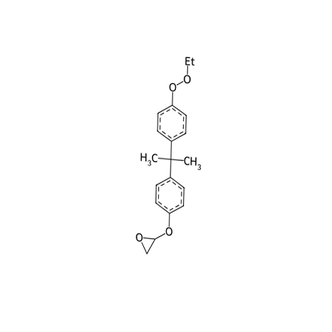 CCOOc1ccc(C(C)(C)c2ccc(OC3CO3)cc2)cc1